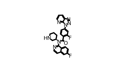 O=C(c1ccc(-n2nnc3cccnc32)cc1F)N(c1nccc2cc(F)ccc12)[C@@H]1CCCNC1